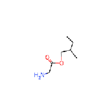 CCC(C)COC(=O)CN